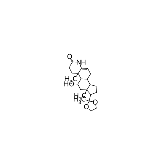 CC1(C2CCC3C4CC=C5NC(=O)CCC5(C)C4C(O)CC32C)OCCO1